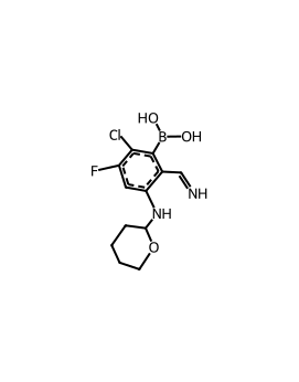 N=Cc1c(NC2CCCCO2)cc(F)c(Cl)c1B(O)O